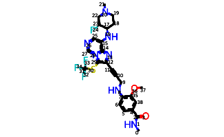 CNC(=O)c1ccc(NCC#Cc2nc3c(N[C@@H]4CCN(C)C[C@@H]4F)cncn3c2SC(F)(F)F)c(OC)c1